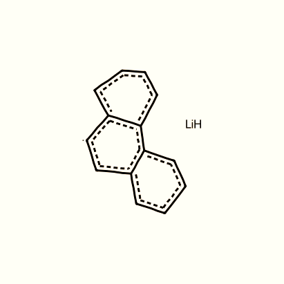 [LiH].[c]1cc2ccccc2c2ccccc12